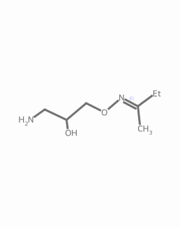 CC/C(C)=N/OCC(O)CN